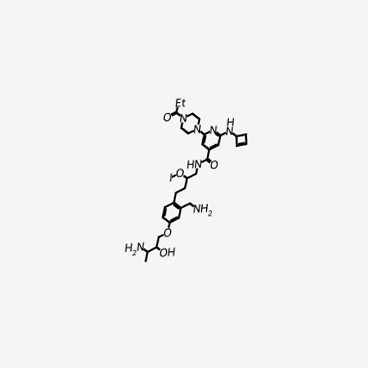 CCC(=O)N1CCN(c2cc(C(=O)NCC(CCc3ccc(OCC(O)C(C)N)cc3CN)OI)cc(NC3C=CC3)n2)CC1